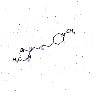 C\C=N/C(Br)=C\C=C\CC1CCN(C)CC1